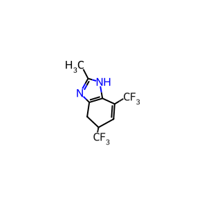 Cc1nc2c([nH]1)C(C(F)(F)F)=CC(C(F)(F)F)C2